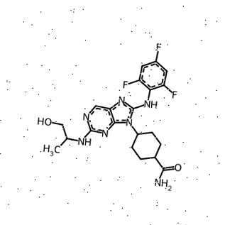 CC(CO)Nc1ncc2nc(Nc3c(F)cc(F)cc3F)n(C3CCC(C(N)=O)CC3)c2n1